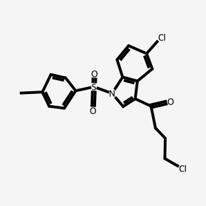 Cc1ccc(S(=O)(=O)n2cc(C(=O)CCCCl)c3cc(Cl)ccc32)cc1